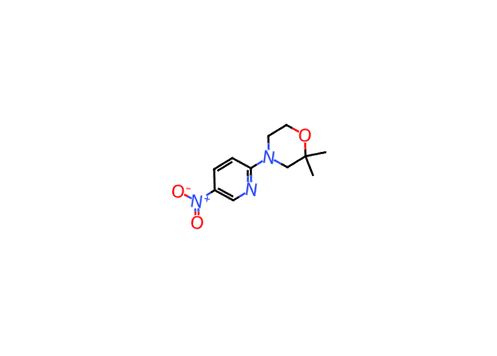 CC1(C)CN(c2ccc([N+](=O)[O-])cn2)CCO1